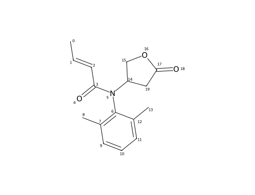 C/C=C/C(=O)N(c1c(C)cccc1C)C1COC(=O)C1